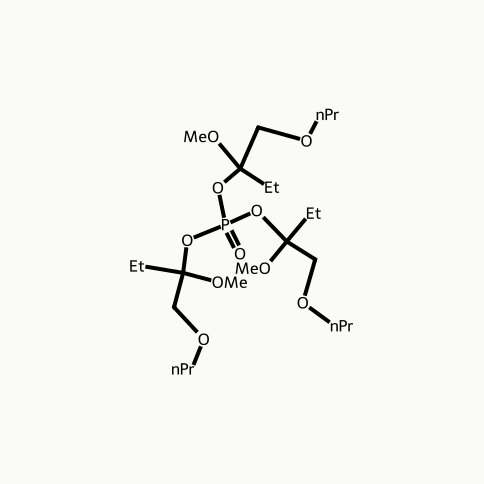 CCCOCC(CC)(OC)OP(=O)(OC(CC)(COCCC)OC)OC(CC)(COCCC)OC